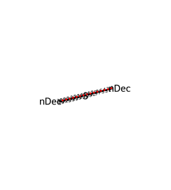 CCCCCCCCCCCCCCCCCCCCCCCCSCCCCCCCCCCCCCCCCCCCCCCCC